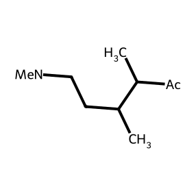 CNCCC(C)C(C)C(C)=O